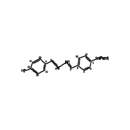 CCCCCc1ccc(C=NN=Cc2ccc(F)cc2)cc1